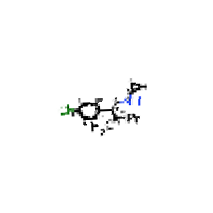 C=C(C(C)C)[C@H](CNC1CC1)c1ccc(Cl)cc1